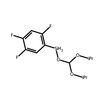 CC(C)OC(O[SiH2]c1cc(F)c(F)cc1F)OC(C)C